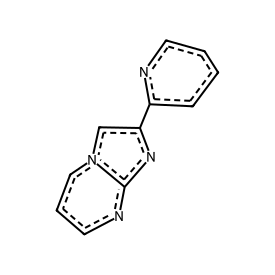 c1ccc(-c2cn3cccnc3n2)nc1